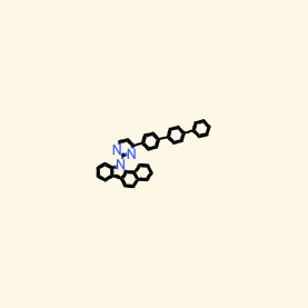 c1ccc(-c2ccc(-c3ccc(-c4ccnc(-n5c6ccccc6c6ccc7ccccc7c65)n4)cc3)cc2)cc1